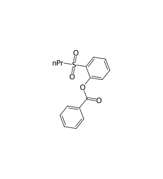 CCCS(=O)(=O)c1ccccc1OC(=O)c1ccccc1